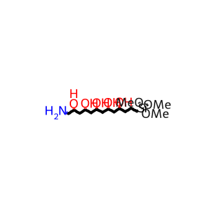 CO[Si](CCCC(O)CC(O)CC(O)CC(O)CC(O)CN)(OC)OC